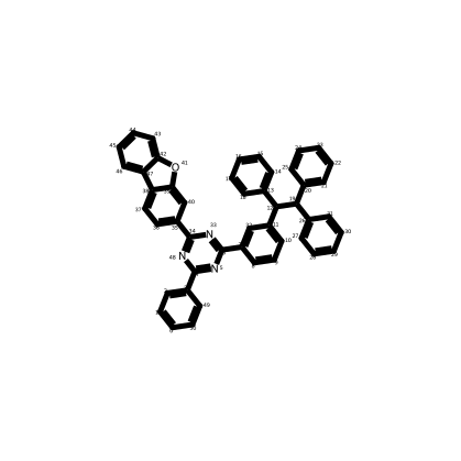 c1ccc(-c2nc(-c3cccc(C(c4ccccc4)C(c4ccccc4)c4ccccc4)c3)nc(-c3ccc4c(c3)oc3ccccc34)n2)cc1